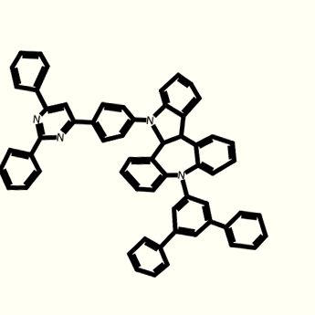 c1ccc(-c2cc(-c3ccccc3)cc(N3c4ccccc4C4c5ccccc5N(c5ccc(-c6cc(-c7ccccc7)nc(-c7ccccc7)n6)cc5)C4c4ccccc43)c2)cc1